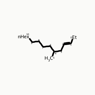 [CH2]CC=CCC(C)CCCCCCCCC[CH2]